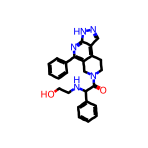 O=C(C(NCCO)c1ccccc1)N1CCc2c(c(-c3ccccc3)nc3[nH]ncc23)C1